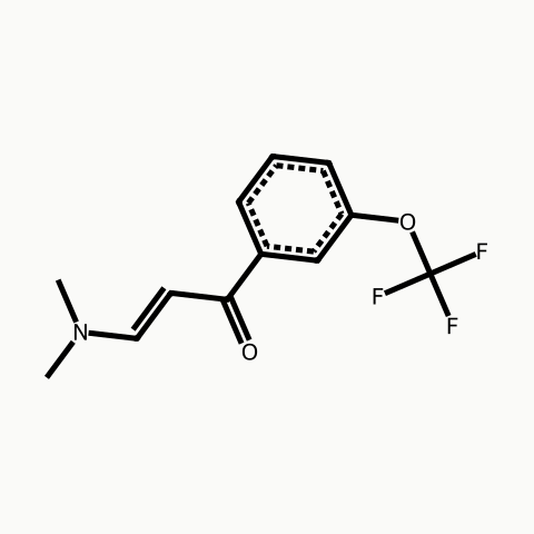 CN(C)C=CC(=O)c1cccc(OC(F)(F)F)c1